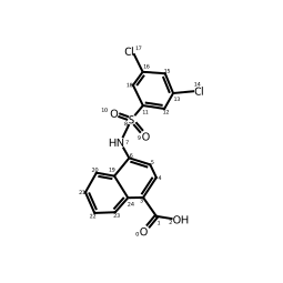 O=C(O)c1ccc(NS(=O)(=O)c2cc(Cl)cc(Cl)c2)c2ccccc12